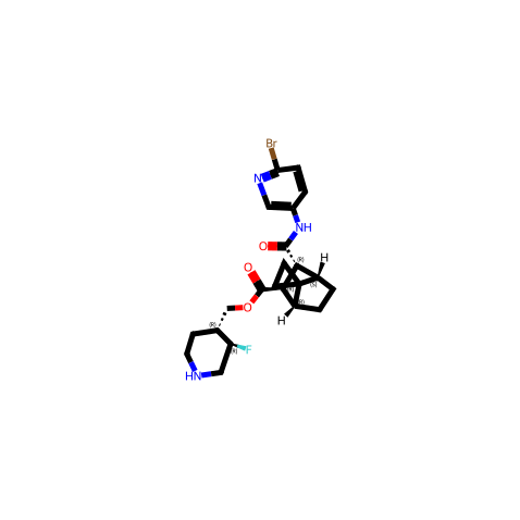 O=C(OC[C@H]1CCNC[C@@H]1F)[C@H]1[C@H](C(=O)Nc2ccc(Br)nc2)[C@@H]2CC[C@H]1C21CC1